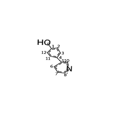 Oc1ccc(-c2cc[c]nc2)cc1